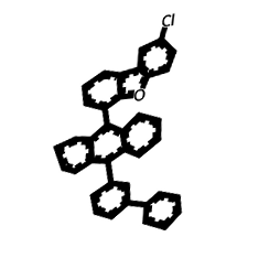 Clc1ccc2oc3c(-c4c5ccccc5c(-c5cccc(-c6ccccc6)c5)c5ccccc45)cccc3c2c1